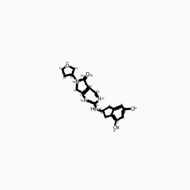 N#Cc1cc(Cl)cc2c1CC(Nc1ncc3c(n1)CN(C1CCOC1)C3=O)C2